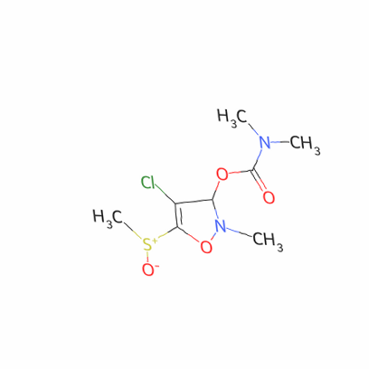 CN(C)C(=O)OC1C(Cl)=C([S+](C)[O-])ON1C